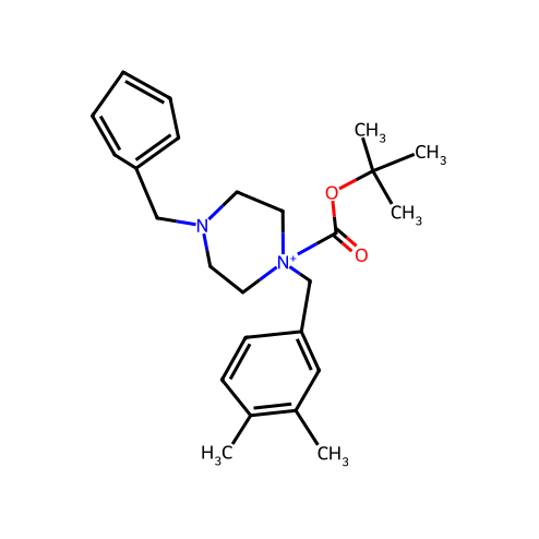 Cc1ccc(C[N+]2(C(=O)OC(C)(C)C)CCN(Cc3ccccc3)CC2)cc1C